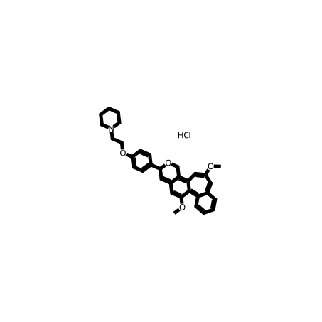 COC1=Cc2c3c(cc(OC)c2=c2ccccc2=C1)=CC(c1ccc(OCCN2CCCCC2)cc1)OC3.Cl